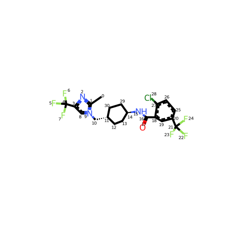 Cc1nc(C(F)(F)F)cn1C[C@H]1CC[C@H](NC(=O)c2cc(C(F)(F)F)ccc2Cl)CC1